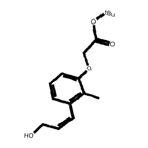 Cc1c(/C=C\CO)cccc1OCC(=O)OC(C)(C)C